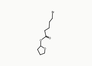 O=C(CCCCBr)OC1CCCO1